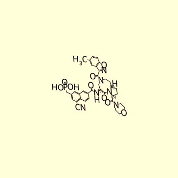 Cc1ccc2onc(C(=O)N3CC[C@H]4CC[C@@H](C(=O)N5CCOCC5)N4C(=O)[C@@H](NC(=O)c4ccc5c(C#N)cc(CP(=O)(O)O)cc5c4)C3)c2c1